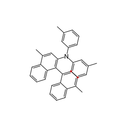 Cc1cccc(N(c2cccc(C)c2)c2cc(C)c3ccccc3c2-c2ccc(C)c3ccccc23)c1